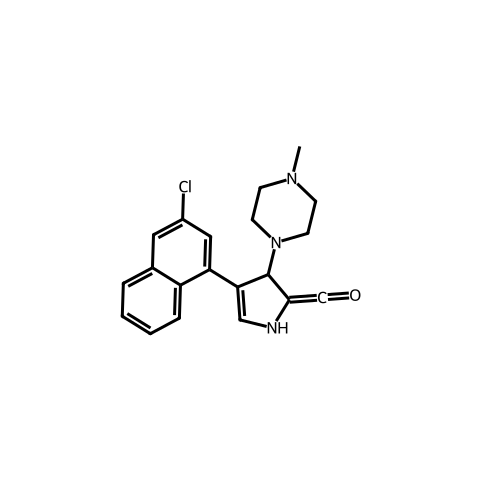 CN1CCN(C2C(=C=O)NC=C2c2cc(Cl)cc3ccccc23)CC1